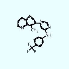 Cc1c(-c2cc(Nc3ccc(C(F)(F)F)cc3)ncn2)ccc2cccnc12